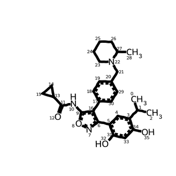 CC(C)c1cc(-c2noc(NC(=O)C3CC3)c2-c2ccc(CN3CCCCC3C)cc2)c(O)cc1O